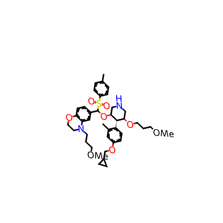 COCCCO[C@@H]1CNC[C@H](OC(c2ccc3c(c2)N(CCCOC)CCO3)S(=O)(=O)c2ccc(C)cc2)[C@H]1c1ccc(OCC2CC2)cc1C